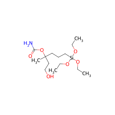 CCO[Si](CCCC(C)(CCO)OC(N)=O)(OCC)OCC